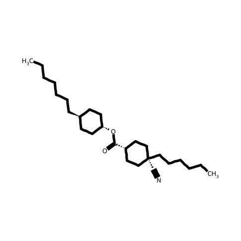 CCCCCCC[C@H]1CC[C@H](OC(=O)[C@H]2CC[C@](C#N)(CCCCCC)CC2)CC1